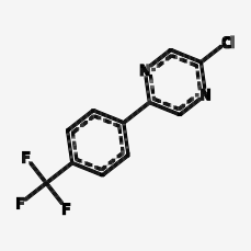 FC(F)(F)c1ccc(-c2cnc(Cl)cn2)cc1